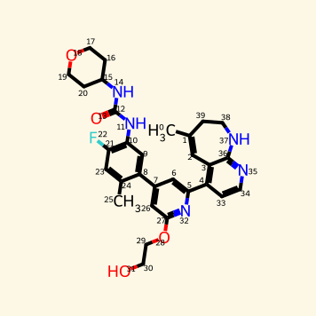 CC1=Cc2c(-c3cc(-c4cc(NC(=O)NC5CCOCC5)c(F)cc4C)cc(OCCO)n3)ccnc2NCC1